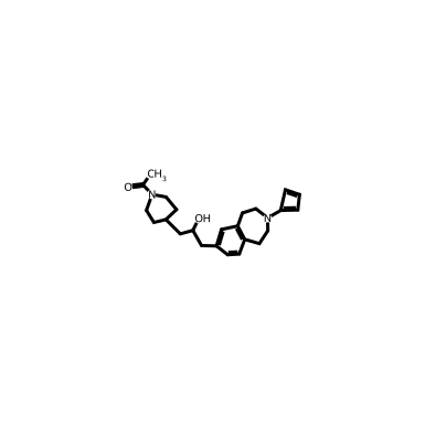 CC(=O)N1CCC(CC(O)Cc2ccc3c(c2)CCN(C2=CC=C2)CC3)CC1